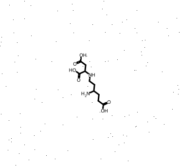 NC(CCNC(CC(=O)O)C(=O)O)CCC(=O)O